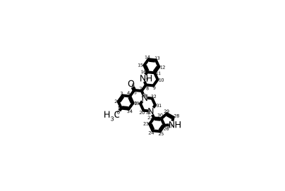 Cc1ccc(C(=O)C(C2CCc3ccccc3N2)N2CCN(c3cccc4[nH]ccc34)CC2)cc1